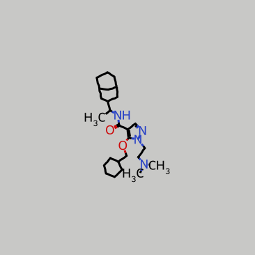 CC(NC(=O)c1cnn(CCN(C)C)c1OCC1CCCCC1)C1CC2CCCC(C2)C1